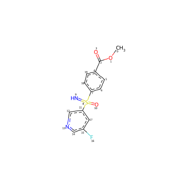 COC(=O)c1ccc(S(=N)(=O)c2cncc(F)c2)cc1